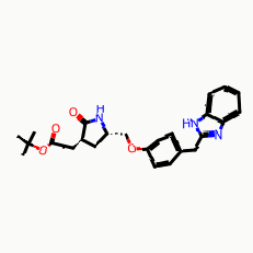 CC(C)(C)OC(=O)C[C@@H]1C[C@@H](COc2ccc(Cc3nc4ccccc4[nH]3)cc2)NC1=O